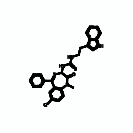 CN1C(=O)C(NC(=S)NCCc2c[nH]c3ccccc23)N=C(c2ccccc2)c2cc(Cl)ccc21